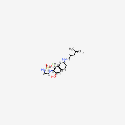 CC(C)CCCNC1CCc2cc(O)c(N3CCNS3(=O)=O)c(F)c2C1